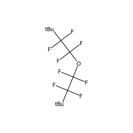 CC(C)(C)C(F)(F)C(F)(F)OC(F)(F)C(F)(F)C(C)(C)C